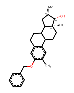 CC(=O)O[C@@H]1CC2C3CCc4cc(OCc5ccccc5)c(C)cc4C3CC[C@]2(C)[C@H]1O